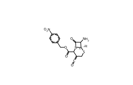 NC1C(=O)N2C(C(=O)OCc3ccc([N+](=O)[O-])cc3)C(=C=O)CS[C@H]12